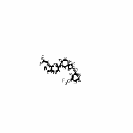 FC(F)Cn1ncc2ncc(N3CCCC4(CC(Oc5cc(C(F)(F)F)ccn5)C4)C3)nc21